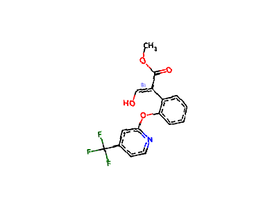 COC(=O)/C(=C/O)c1ccccc1Oc1cc(C(F)(F)F)ccn1